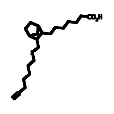 C#CCCCCCSCC1C2CCC(C2)C1CCCCCCC(=O)O